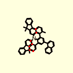 Cc1ccccc1-c1cc(-c2cccc3ccccc23)cc(-c2ccccc2C)c1N(c1ccc2c(c1)C(C)(C)c1ccccc1-2)c1ccc2c(c1)C(C)(C)c1ccccc1-2